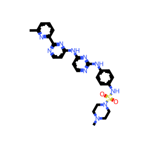 Cc1cccc(-c2nccc(Nc3ccnc(Nc4ccc(NS(=O)(=O)N5CCN(C)CC5)cc4)n3)n2)n1